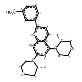 C[C@@H]1COCCN1c1nc(N2CCOC[C@H]2C)c2ccc(-c3cccc(C(=O)O)c3)nc2n1